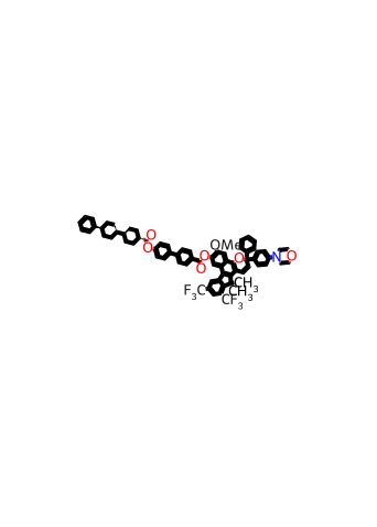 COc1cc2c3c(c4c(c2cc1OC(=O)c1ccc(-c2ccc(OC(=O)[C@H]5CC[C@H]([C@H]6CC[C@H](c7ccccc7)CC6)CC5)cc2)cc1)-c1cc(C(F)(F)F)cc(C(F)(F)F)c1C4(C)C)C=CC(c1ccccc1)(c1ccc(N2CCOCC2)cc1)O3